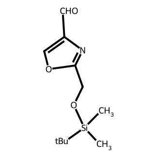 CC(C)(C)[Si](C)(C)OCc1nc(C=O)co1